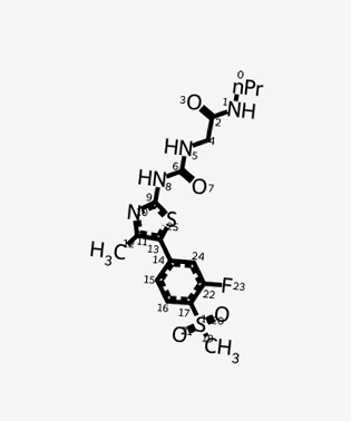 CCCNC(=O)CNC(=O)Nc1nc(C)c(-c2ccc(S(C)(=O)=O)c(F)c2)s1